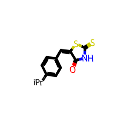 CC(C)c1ccc(C=C2SC(=S)NC2=O)cc1